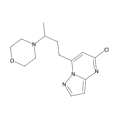 CC(CCc1cc(Cl)nc2ccnn12)N1CCOCC1